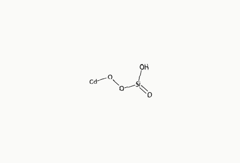 O=[Si](O)O[O][Gd]